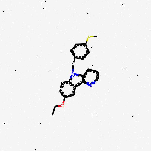 CCOc1ccc2c(c1)c1ncccc1n2Cc1ccc(SC)cc1